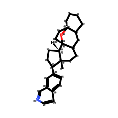 C[C@]12CCC3CC4CCCC[C@]45CC[C@]3(O5)[C@@H]1CC[C@@H]2c1ccc2ccncc2c1